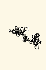 CC(C)c1ccc(S(=O)(=O)n2cc(OCC(CCOc3cn(S(=O)(=O)c4ccccc4)c4c(Br)cc(Cl)cc34)(N(C)C)N(C)C)c3cc(Cl)cc(Br)c32)cc1